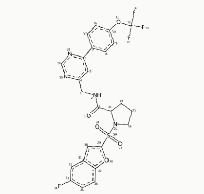 O=C(NCc1cc(-c2ccc(OC(F)(F)F)cc2)ncn1)C1CCCN1S(=O)(=O)c1cc2cc(F)ccc2o1